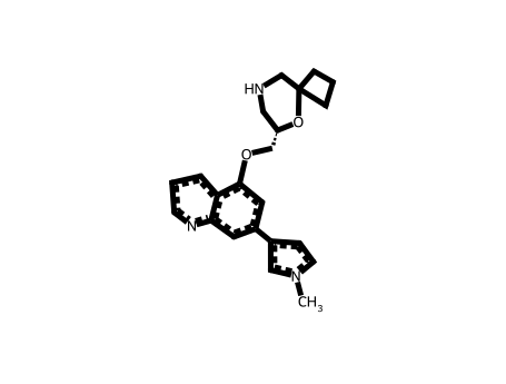 Cn1ccc(-c2cc(OC[C@@H]3CNCC4(CCC4)O3)c3cccnc3c2)c1